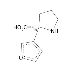 O=C(O)[C@]1(c2ccoc2)CCCN1